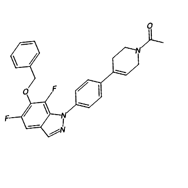 CC(=O)N1CC=C(c2ccc(-n3ncc4cc(F)c(OCc5ccccc5)c(F)c43)cc2)CC1